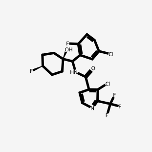 O=C(NC(c1cc(Cl)ccc1F)[C@]1(O)CC[C@@H](F)CC1)c1ccnc(C(F)(F)F)c1Cl